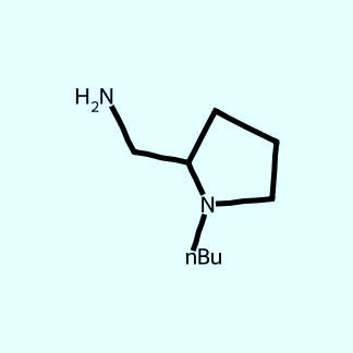 CCCCN1CCCC1CN